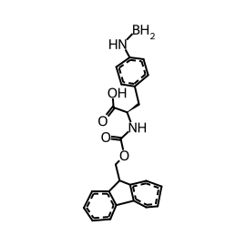 BNc1ccc(C[C@@H](NC(=O)OCC2c3ccccc3-c3ccccc32)C(=O)O)cc1